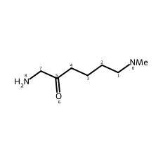 CNCCCCC(=O)CN